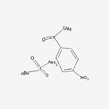 CCCCS(N)(=O)=O.COC(=O)c1ccc([N+](=O)[O-])cc1